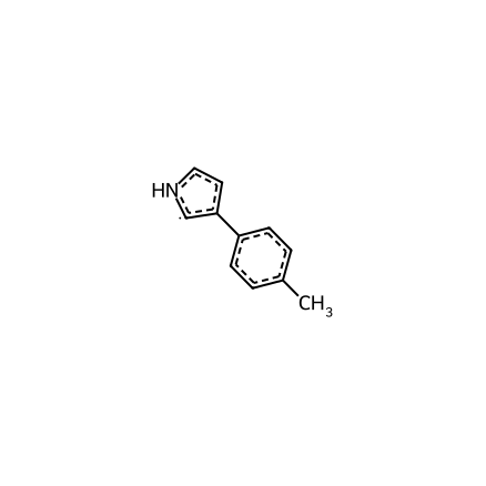 Cc1ccc(-c2[c][nH]cc2)cc1